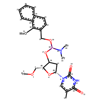 [2H]OC[C@H]1O[C@@H](n2cc(C)c(=O)[nH]c2=O)CC1OP(OCc1ccc2ccccc2c1OC)N(C(C)C)C(C)C